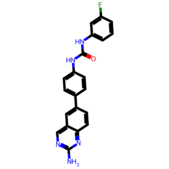 Nc1ncc2cc(-c3ccc(NC(=O)Nc4cccc(F)c4)cc3)ccc2n1